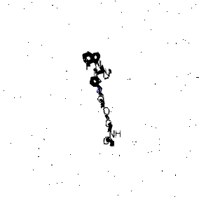 C=CC(=O)NCCOCCOCCOC/C=C/c1cccc([C@H]2CN([C@H]3CCc4cccc(F)c43)C[C@@H]2N(C)C)c1